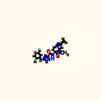 CN1C(=O)[C@@H](NC(=O)c2ncn(Cc3cc(F)ccc3F)n2)CCn2nc(C3CC3)cc21